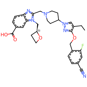 CCc1cn(C2CCN(Cc3nc4ccc(C(=O)O)cc4n3C[C@@H]3CCO3)CC2)nc1OCc1ccc(C#N)cc1F